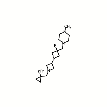 CCCC1(CN2CC(N3CC(F)(CN4CCN(C)CC4)C3)C2)CC1